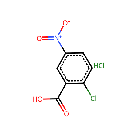 Cl.O=C(O)c1cc([N+](=O)[O-])ccc1Cl